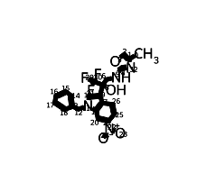 Cc1coc(NCC(O)(c2cn(Cc3ccccc3)c3cc([N+](=O)[O-])ccc23)C(F)(F)F)n1